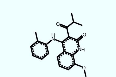 COc1cccc2c(Nc3ccccc3C)c(C(=O)C(C)C)c(=O)[nH]c12